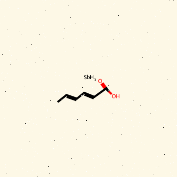 C/C=C/C=C/C(=O)O.[SbH3]